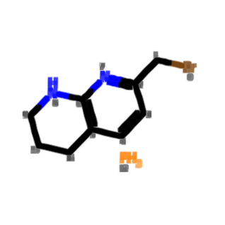 BrCc1ccc2c(n1)NCCC2.P